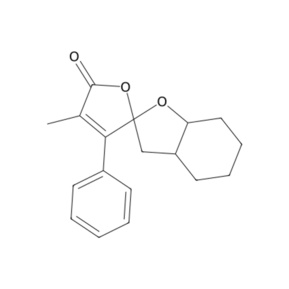 CC1=C(c2ccccc2)C2(CC3CCCCC3O2)OC1=O